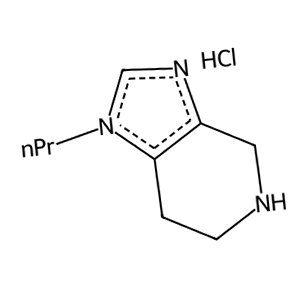 CCCn1cnc2c1CCNC2.Cl